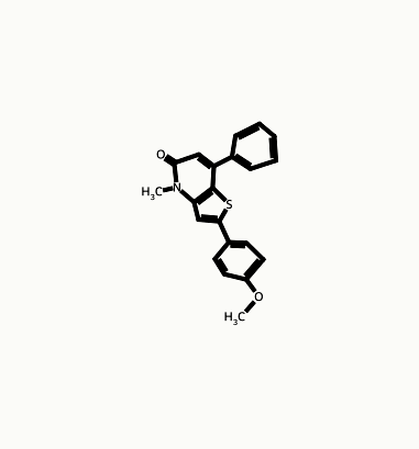 COc1ccc(-c2cc3c(s2)c(-c2ccccc2)cc(=O)n3C)cc1